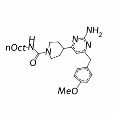 CCCCCCCCNC(=O)N1CCC(c2cc(Cc3ccc(OC)cc3)nc(N)n2)CC1